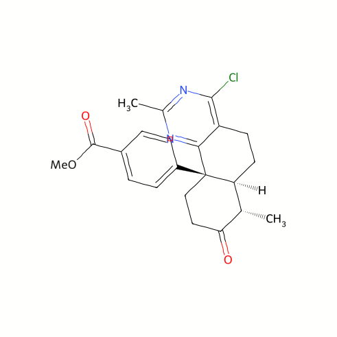 COC(=O)c1ccc([C@]23CCC(=O)[C@@H](C)[C@@H]2CCc2c(Cl)nc(C)nc23)cc1